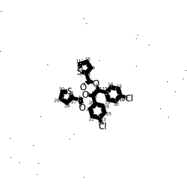 O=C(OC(=C(OC(=O)c1cccs1)c1ccc(Cl)cc1)c1ccc(Cl)cc1)c1cccs1